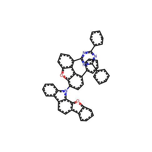 c1ccc(-c2nc(-c3ccccc3)nc(-c3cccc4oc5c(-n6c7ccccc7c7ccc8c9ccccc9oc8c76)ccc(-c6ccccc6)c5c34)n2)cc1